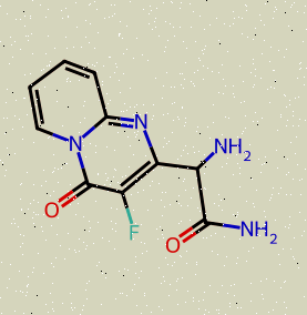 NC(=O)C(N)c1nc2ccccn2c(=O)c1F